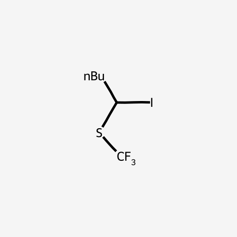 CCCCC(I)SC(F)(F)F